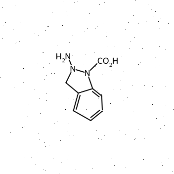 NN1Cc2ccccc2N1C(=O)O